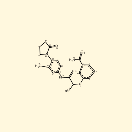 CCCC(Oc1cccc(C(=N)N)c1)C(=O)Nc1ccc(N2CCCC2=O)c(C)c1